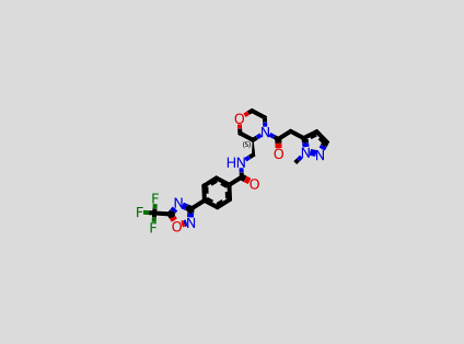 Cn1nccc1CC(=O)N1CCOC[C@@H]1CNC(=O)c1ccc(-c2noc(C(F)(F)F)n2)cc1